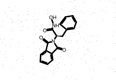 O=C(NO)[C@@H](Cc1ccccc1)N1C(=O)c2ccccc2C1=O